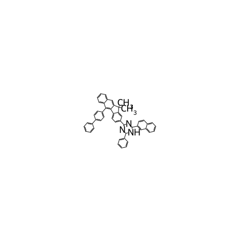 CC1(C)c2cc(C3=NC(c4ccccc4)NC(c4ccc5ccccc5c4)=N3)ccc2-c2c1cc1ccccc1c2-c1ccc(-c2ccccc2)cc1